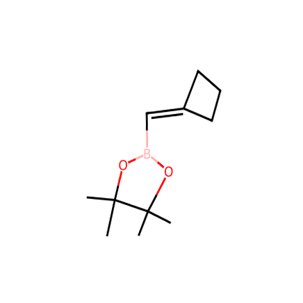 CC1(C)OB(C=C2CCC2)OC1(C)C